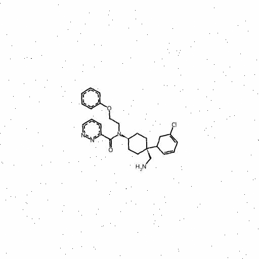 NC[C@]1(C2C=CC=C(Cl)C2)CC[C@H](N(CCOc2ccccc2)C(=O)c2cccnn2)CC1